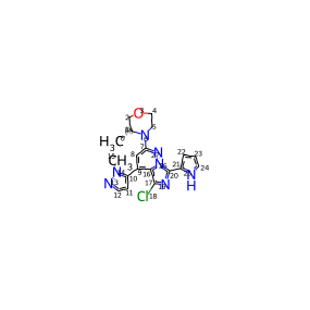 C[C@@H]1COCCN1c1cc(-c2ccnn2C)c2c(Cl)nc(-c3ccc[nH]3)n2n1